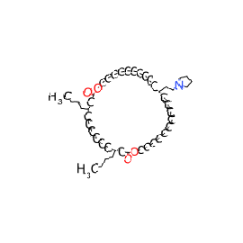 CCCCC1CCCCCCC(CCCC)CC(=O)OCCCCCCCCCCC(CCN2CCCC2)CCCCCCCCCCOC(=O)C1